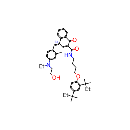 CCN(CCO)c1ccc(/C=C2\C=C(C(=O)NCCCCOc3ccc(C(C)(C)CC)cc3C(C)(C)CC)C(=O)c3ccccc32)c(C)c1